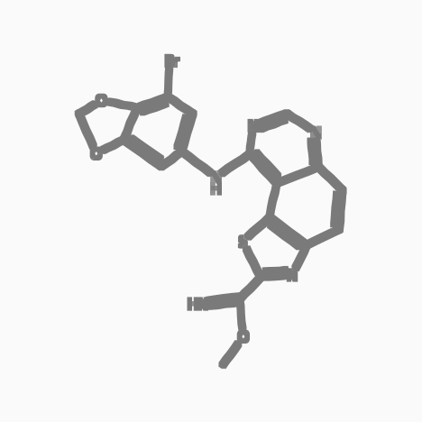 COC(=N)c1nc2ccc3ncnc(Nc4cc(Br)c5c(c4)OCO5)c3c2s1